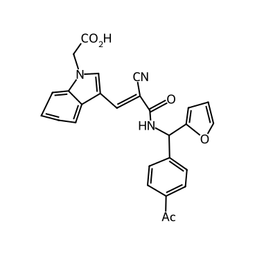 CC(=O)c1ccc(C(NC(=O)/C(C#N)=C/c2cn(CC(=O)O)c3ccccc23)c2ccco2)cc1